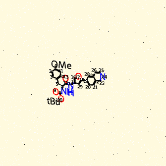 COc1ccc(C[C@H](NC(=O)OC(C)(C)C)C(=O)Nc2coc(-c3ccc4cnccc4c3)c2)cc1